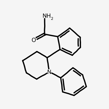 NC(=O)c1ccccc1C1CCCCN1c1ccccc1